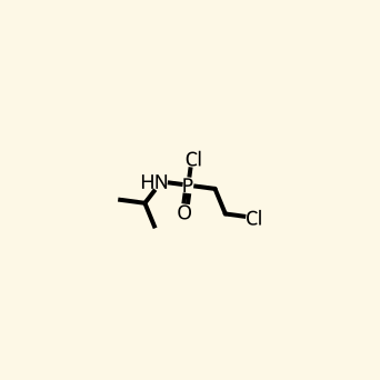 CC(C)NP(=O)(Cl)CCCl